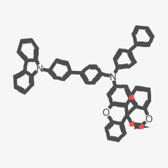 c1ccc(-c2ccc(N(c3ccc(-c4ccc(-n5c6ccccc6c6ccccc65)cc4)cc3)c3ccc4c(c3)Oc3ccccc3C43c4ccccc4Oc4ccccc43)cc2)cc1